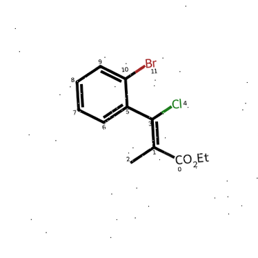 CCOC(=O)C(C)=C(Cl)c1ccccc1Br